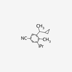 Cc1c(C(C)C)cc(C#N)cc1C(C)C1CC1